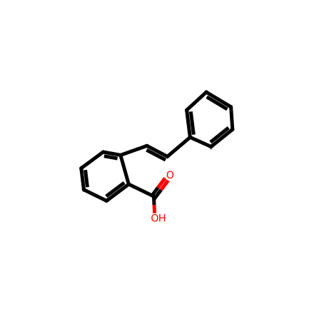 O=C(O)c1ccccc1/C=C/c1[c]cccc1